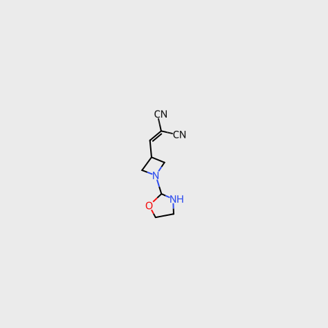 N#CC(C#N)=CC1CN(C2NCCO2)C1